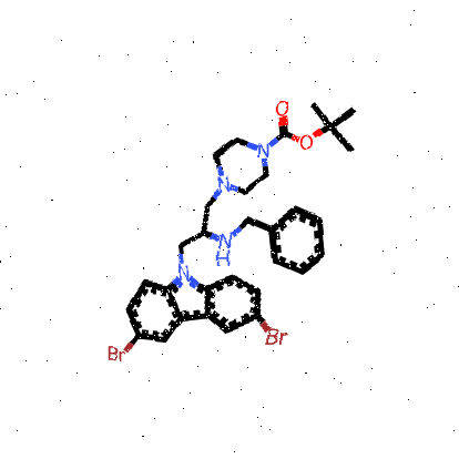 CC(C)(C)OC(=O)N1CCN(CC(Cn2c3ccc(Br)cc3c3cc(Br)ccc32)NCc2ccccc2)CC1